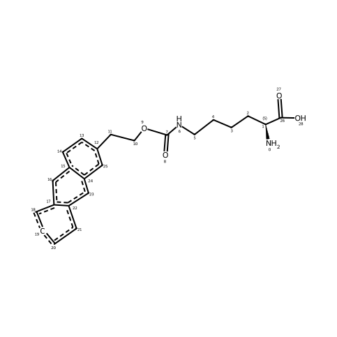 N[C@@H](CCCCNC(=O)OCCc1ccc2cc3ccccc3cc2c1)C(=O)O